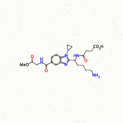 COC(=O)CNC(=O)c1ccc2c(c1)nc(C(CCCCN)NC(=O)CCC(=O)O)n2C1CC1